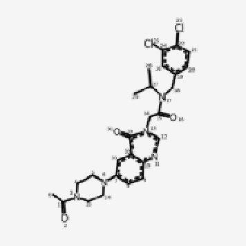 CC(=O)N1CCN(c2ccc3ncn(CC(=O)N(Cc4ccc(Cl)c(Cl)c4)C(C)C)c(=O)c3c2)CC1